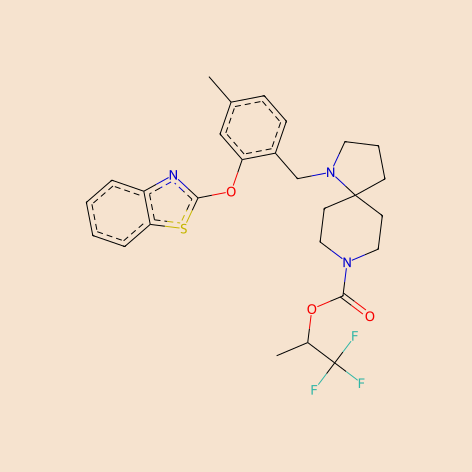 Cc1ccc(CN2CCCC23CCN(C(=O)OC(C)C(F)(F)F)CC3)c(Oc2nc3ccccc3s2)c1